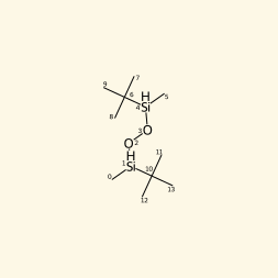 C[SiH](OO[SiH](C)C(C)(C)C)C(C)(C)C